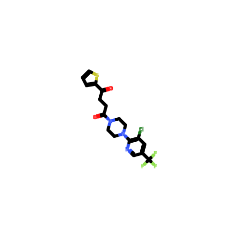 O=C(CCC(=O)N1CCN(c2ncc(C(F)(F)F)cc2Cl)CC1)c1cccs1